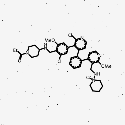 CCC(=O)N1CCC(NCc2c(Cl)cc(-c3c(-c4ccccc4-c4ccnc(OC)c4CN[N+]4([O-])CCCCC4)ccnc3Cl)cc2OC)CC1